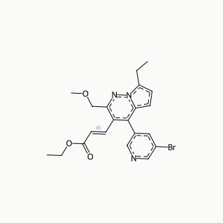 CCOC(=O)/C=C/c1c(COC)nn2c(CC)ccc2c1-c1cncc(Br)c1